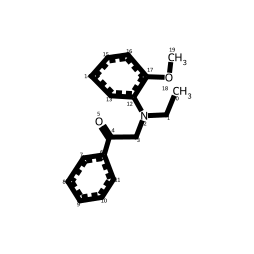 CCN(CC(=O)c1ccccc1)c1ccccc1OC